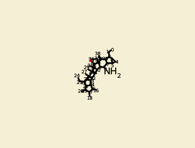 CCC1C2CC2C2C(N)C3C4C5C6C7C8C(C)C(C)C(C)C8C(CC)C7C6(C)C5(C)C4(C)C(C)C3(CC)C(C)C12